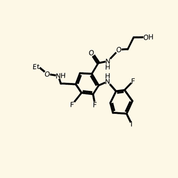 CCONCc1cc(C(=O)NOCCO)c(Nc2ccc(I)cc2F)c(F)c1F